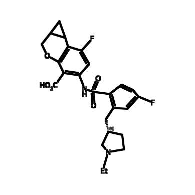 CCN1CC[C@@H](Cc2cc(F)ccc2S(=O)(=O)Nc2cc(F)c3c(c2C(=O)O)OCC2CC32)C1